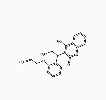 C=CCOc1ccccc1C(CC)c1c(O)c2ccccc2oc1=O